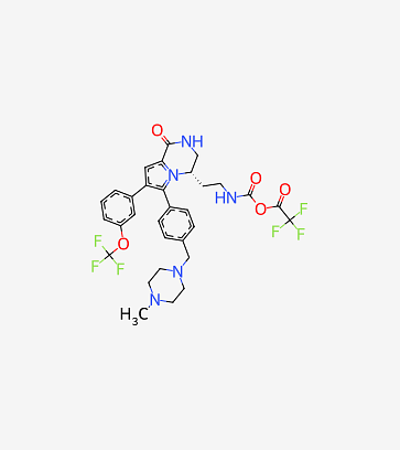 CN1CCN(Cc2ccc(-c3c(-c4cccc(OC(F)(F)F)c4)cc4n3[C@@H](CCNC(=O)OC(=O)C(F)(F)F)CNC4=O)cc2)CC1